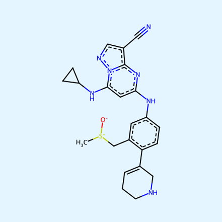 C[S+]([O-])Cc1cc(Nc2cc(NC3CC3)n3ncc(C#N)c3n2)ccc1C1=CCCNC1